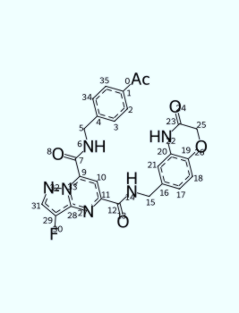 CC(=O)c1ccc(CNC(=O)c2cc(C(=O)NCc3ccc4c(c3)NC(=O)CO4)nc3c(F)cnn23)cc1